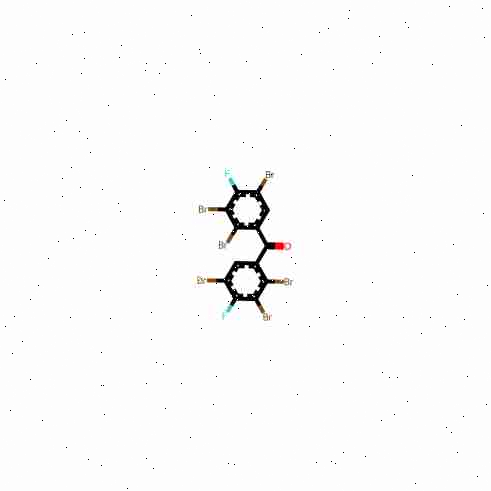 O=C(c1cc(Br)c(F)c(Br)c1Br)c1cc(Br)c(F)c(Br)c1Br